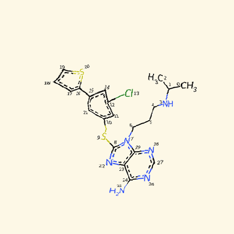 CC(C)NCCCn1c(Sc2cc(Cl)cc(-c3cccs3)c2)nc2c(N)ncnc21